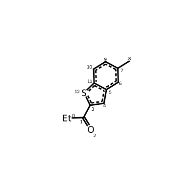 CCC(=O)c1cc2cc(C)ccc2s1